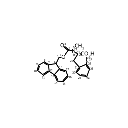 CN(C(=O)OCC1c2ccccc2-c2ccccc21)[C@@H](Cc1ccccc1F)C(=O)O